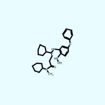 CN(C(=O)CC[C@H](Nc1cc(Oc2ccccc2)ccc1NO)C1CCCCC1)C1CCCCC1